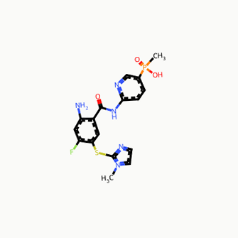 Cn1ccnc1Sc1cc(C(=O)Nc2ccc(P(C)(=O)O)cn2)c(N)cc1F